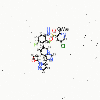 COc1ncc(Cl)cc1S(=O)(=O)Nc1ccc(F)c(-c2ccc3c(-c4ccnn4C4CCO4)ncn3c2)c1F